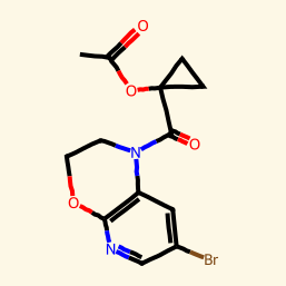 CC(=O)OC1(C(=O)N2CCOc3ncc(Br)cc32)CC1